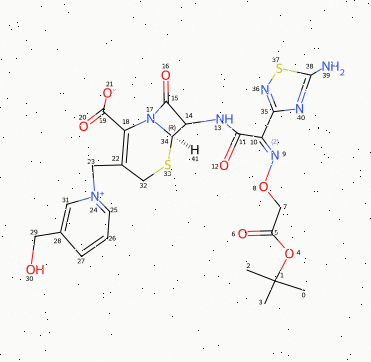 CC(C)(C)OC(=O)CO/N=C(\C(=O)NC1C(=O)N2C(C(=O)[O-])=C(C[n+]3cccc(CO)c3)CS[C@H]12)c1nsc(N)n1